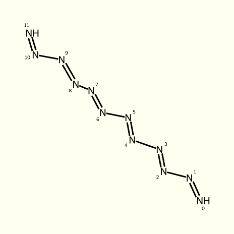 N=N/N=N/N=N/N=N/N=N/N=N